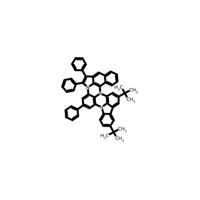 CC(C)(C)c1ccc2c(c1)c1cc(C(C)(C)C)cc3c1n2-c1cc(-c2ccccc2)cc2c1B3c1c3ccccc3cc3c(-c4ccccc4)c(-c4ccccc4)n-2c13